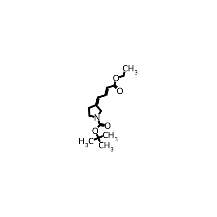 CCOC(=O)C=CC=C1CCN(C(=O)OC(C)(C)C)C1